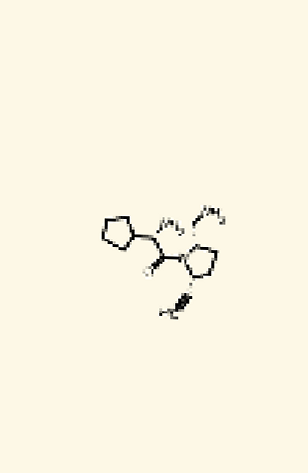 C#C[C@H]1CC[C@@H](CN)N1C(=O)[C@@H](N)C1CCCC1